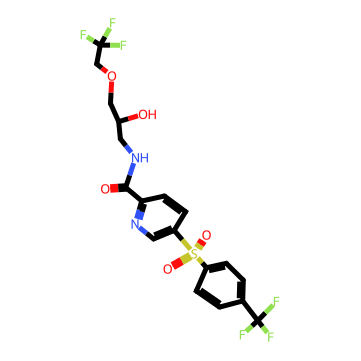 O=C(NCC(O)COCC(F)(F)F)c1ccc(S(=O)(=O)c2ccc(C(F)(F)F)cc2)cn1